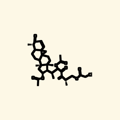 C=C(C(=O)[C@H](OC(C)=O)[C@@H](C)[C@H]1[C@@H](OC(C)=O)C[C@@]2(C)C3CCC4[C@H](C)C(=O)C=C[C@@]45C[C@@]35CC[C@]12C)[C@@H](C)COC(=O)CCl